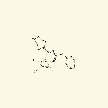 CCc1[nH]c2nc(Oc3cccnc3)nc(N3CC4CNC4C3)c2c1Cl